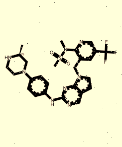 C[C@H]1CN(c2ccc(Nc3ncc4ccn(Cc5cc(C(F)(F)F)cnc5N(C)S(C)(=O)=O)c4n3)cc2)CCN1